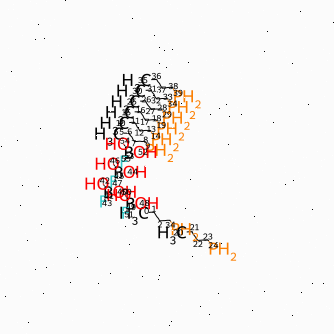 CCCCP.CCCCP.CCCCP.CCCCP.CCCCP.CCCCP.CCCCP.CCCCP.OB(O)F.OB(O)F.OB(O)F.OB(O)F